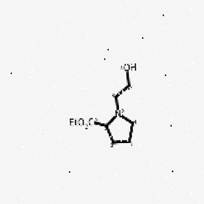 CCOC(=O)C1CCCN1CCO